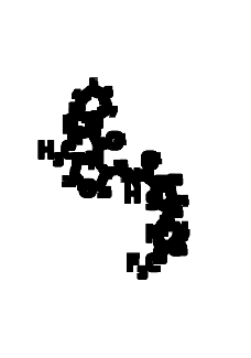 Cn1nc2ccccc2c1C(=O)N1CCOCC1CNC(=O)c1ccc(-c2noc(C(F)(F)F)n2)s1